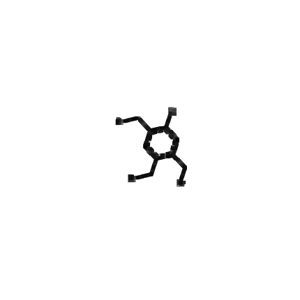 CCc1cc(CBr)c(CBr)cc1CBr